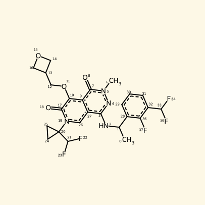 CC(Nc1nn(C)c(=O)c2c(OCC3COC3)c(=O)n(C3(C(F)F)CC3)cc12)c1cccc(C(F)F)c1F